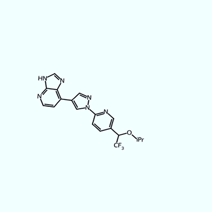 CC(C)OC(c1ccc(-n2cc(-c3ccnc4[nH]cnc34)cn2)nc1)C(F)(F)F